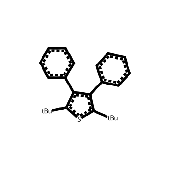 CC(C)(C)c1sc(C(C)(C)C)c(-c2ccccc2)c1-c1ccccc1